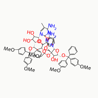 COCCO[C@@]1(COC(CC(OC(c2ccccc2)(c2ccc(OC)cc2)c2ccc(OC)cc2)[C@H]2O[C@@H](n3cc(C)c(N)nc3=O)[C@H](O)[C@@H]2O)C(=O)c2ccccc2)[C@H](O)[C@@H](COC(c2ccccc2)(c2ccc(OC)cc2)c2ccc(OC)cc2)O[C@H]1n1cc(C)c(N)nc1=O